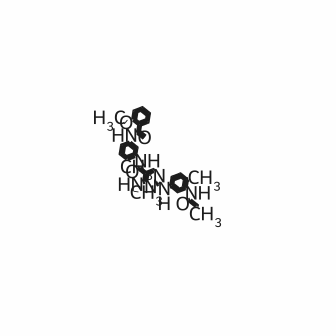 CCC(=O)Nc1cc(Nc2ncc(C(=O)Nc3cc(NC(=O)c4ccccc4OC)ccc3C)c(NC)n2)ccc1C